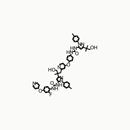 Cc1ccc(-n2nc(C(C)(C)CO)cc2NC(=O)Nc2ccc(Oc3ccnc(CC(C)(CO)c4cc(NC(=O)Nc5ccc(Oc6ccncc6)cc5F)n(-c5ccc(C)cc5)n4)c3)cc2)cc1